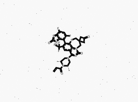 C=CC(=O)N1[C@H](C)CN(c2nc(=O)n3c4c(c(-c5c(F)cc(F)c6sc(=O)[nH]c56)c(C(F)(F)F)cc24)SCC2(CC(=O)C2)C3)C[C@@H]1C